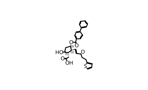 O=C(O)C[C@H]1[C@H](C=CC(=O)CCc2cccs2)[C@@H](OC(=O)c2ccc(-c3ccccc3)cc2)C[C@H]1O